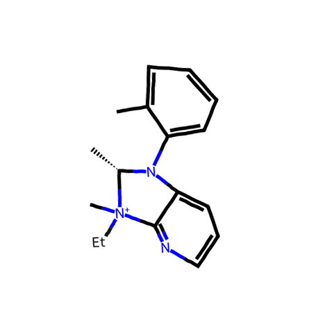 CC[N+]1(C)c2ncccc2N(c2ccccc2C)[C@H]1C